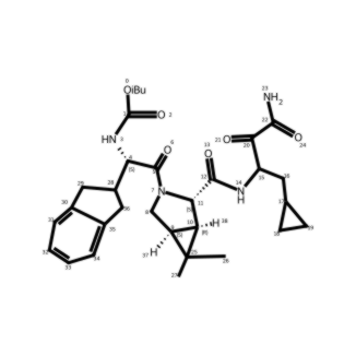 CC(C)COC(=O)N[C@H](C(=O)N1C[C@H]2[C@@H]([C@H]1C(=O)NC(CC1CC1)C(=O)C(N)=O)C2(C)C)C1Cc2ccccc2C1